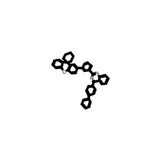 c1ccc(-c2ccc(-c3nc(-c4cccc(-c5ccc6c(c5)C5(CCCCC5)c5ccccc5O6)c4)nc4ccccc34)cc2)cc1